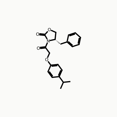 CC(C)c1ccc(OCC(=O)N2C(=O)OC[C@@H]2Cc2ccccc2)cc1